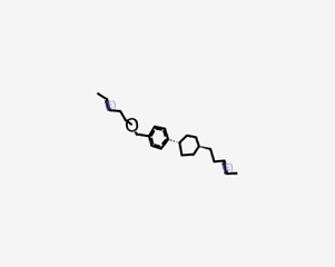 C/C=C/CCOCc1ccc([C@H]2CC[C@H](CC/C=C/C)CC2)cc1